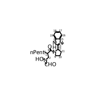 CCCCCC(CN(O)C=O)C(=O)N1CCCC1c1nc2ccccc2[nH]1